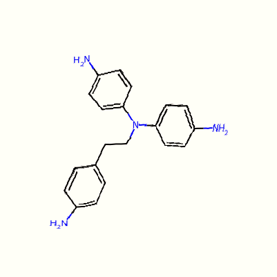 Nc1ccc(CCN(c2ccc(N)cc2)c2ccc(N)cc2)cc1